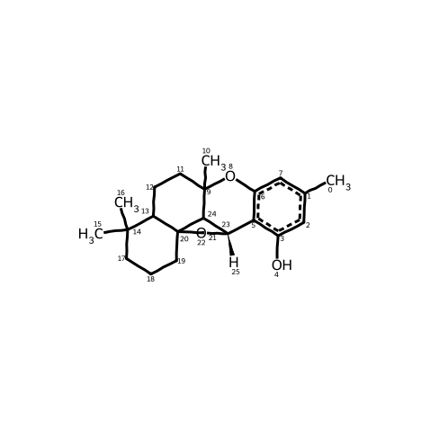 Cc1cc(O)c2c(c1)OC1(C)CCC3C(C)(C)CCCC34CO[C@@H]2C14